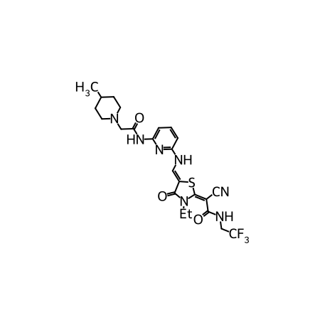 CCn1c(=C(C#N)C(=O)NCC(F)(F)F)sc(=CNc2cccc(NC(=O)CN3CCC(C)CC3)n2)c1=O